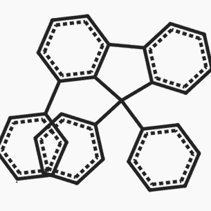 [c]1ccc(-c2cccc3c2C(c2ccccc2)(c2ccccc2)c2ccccc2-3)cc1